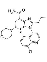 CCCc1nc2c(C(N)=O)cc(N3CCOCC3)cc2n1-c1ccnc2c(Cl)ccc(F)c12